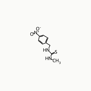 CNC(=S)NCc1ccc([N+](=O)[O-])cc1